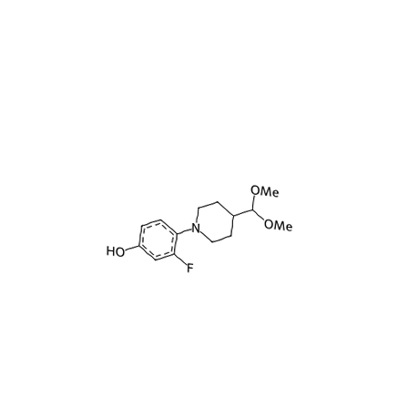 COC(OC)C1CCN(c2ccc(O)cc2F)CC1